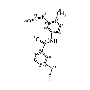 Cc1ccc(NC(=O)c2cccc(CF)c2)cc1N=C=O